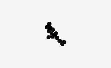 c1ccc(-c2ccc(N(c3ccc(-c4ccc(-c5cccc6ccccc56)cc4)cc3)c3ccccc3-c3cccc(-c4cccc5c4c4ccccc4n5-c4cc5ccccc5c5ccccc45)c3)cc2)cc1